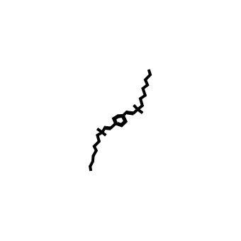 CCCCCCCCC(C)(C)C=Cc1ccc(C=CC(C)(C)CCCCCCCC)cc1